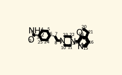 NC(=O)[C@H]1CC[C@H](CCN2CCN(c3nccc4c3OCC4)CC2)CC1